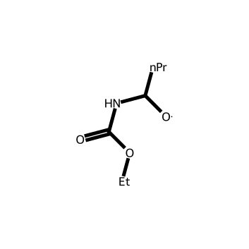 CCCC([O])NC(=O)OCC